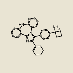 NC1(c2ccc(-c3c(C4=CCCCC4)nc4n3-c3cccnc3Nc3ccccc3-4)cc2)CCC1